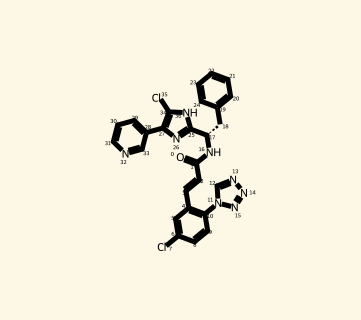 O=C(C=Cc1cc(Cl)ccc1-n1cnnn1)N[C@@H](Cc1ccccc1)c1nc(-c2cccnc2)c(Cl)[nH]1